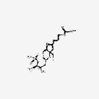 C=C(OS(=O)(=O)C(F)(F)F)[C@H](C)CC1CCC2OC(CCCOC(=O)C(C)(C)C)CC2(CI)O1